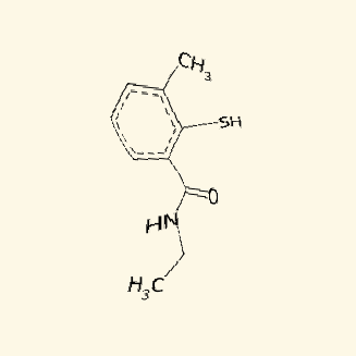 CCNC(=O)c1cccc(C)c1S